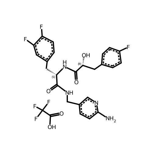 Nc1ccc(CNC(=O)[C@H](Cc2ccc(F)c(F)c2)NC(=O)[C@H](O)Cc2ccc(F)cc2)cn1.O=C(O)C(F)(F)F